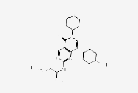 COCC(C)Nc1ncc2c(=O)n(C3CCNCC3)cc([C@H]3CC[C@H](O)CC3)c2n1